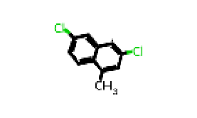 Cc1cc(Cl)[c]c2cc(Cl)ccc12